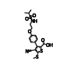 CSc1sc(C(=O)O)c(-c2ccc(OCCNS(=O)(=O)C(C)C)cc2)c1C#N